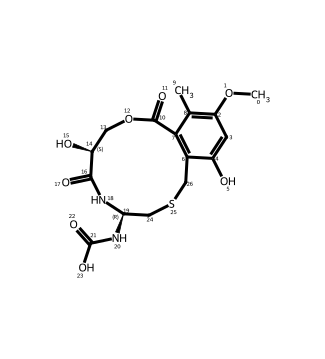 COc1cc(O)c2c(c1C)C(=O)OC[C@H](O)C(=O)N[C@H](NC(=O)O)CSC2